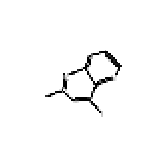 Cc1cc(I)c2ncccc2n1